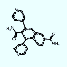 NC(=O)c1ccc2c(-c3ccncc3)c(C(N)=O)c(-c3ccncc3)cc2c1